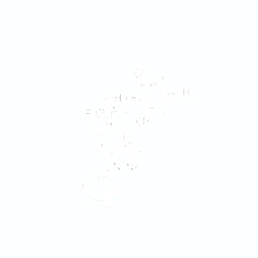 Cc1cc(Cl)c(OCC(O)(c2ccc3c(cnn3-c3ccccc3)c2)C(F)(F)F)c(Cl)c1